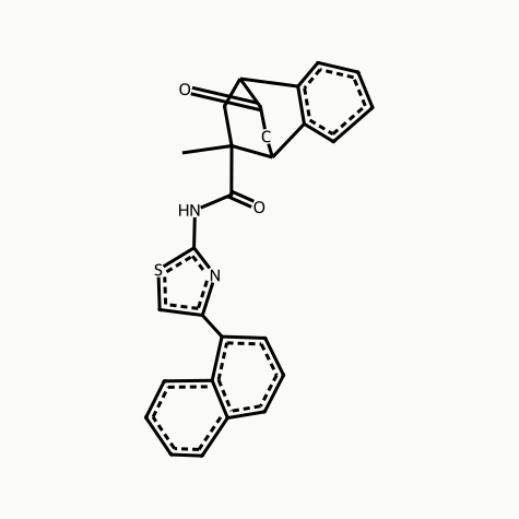 CC1(C(=O)Nc2nc(-c3cccc4ccccc34)cs2)CC2C(=O)CC1c1ccccc12